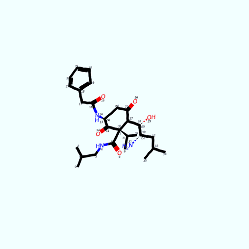 CC(C)CNC(=O)[C@]1(C(C)C)C(=O)[C@@H](NC(=O)Cc2ccccc2)CC(=O)C1[C@H](O)[C@@H](N)CC(C)C